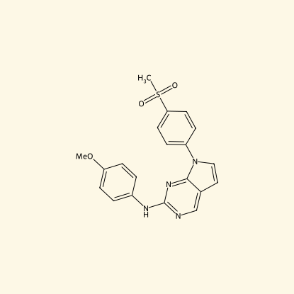 COc1ccc(Nc2ncc3ccn(-c4ccc(S(C)(=O)=O)cc4)c3n2)cc1